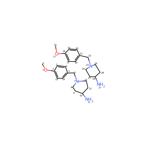 COc1ccc(CN2CCC(N)CC2)cc1.COc1ccc(CN2CCC(N)CC2)cc1